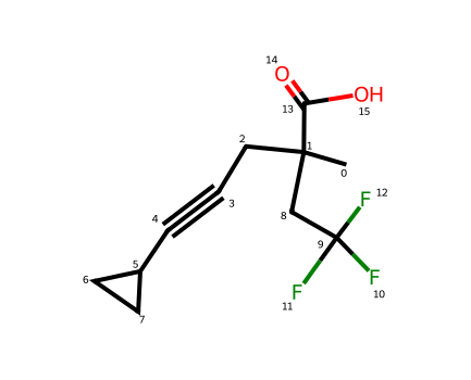 CC(CC#CC1CC1)(CC(F)(F)F)C(=O)O